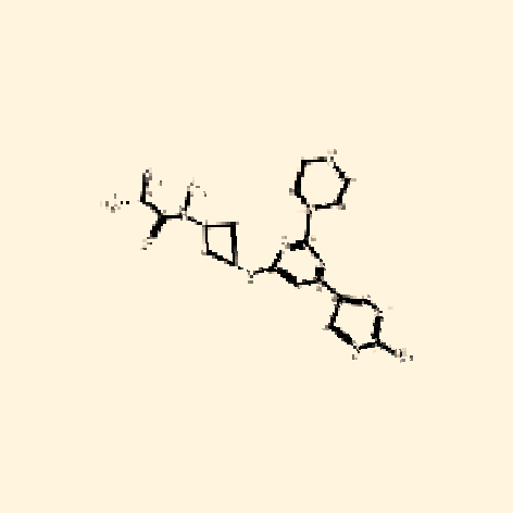 C[C@H](N)C(=O)N(C)[C@H]1C[C@H](Oc2cc(-c3cnc(N)nc3)nc(N3CCOCC3)n2)C1